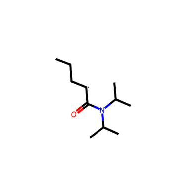 CCC[CH]C(=O)N(C(C)C)C(C)C